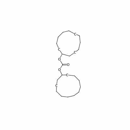 O=C(OC1CCCCCCCCCCC1)OC1CCCCCCCCCCC1